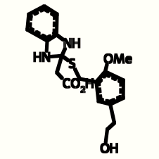 COc1ccc(CCO)cc1CSC1(CC(=O)O)Nc2ccccc2N1